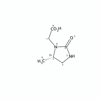 C[C@H]1CNC(=O)N1CC(=O)O